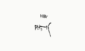 Br.CN(C)C.P